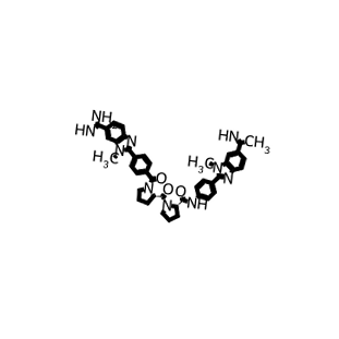 CC(=N)c1ccc2nc(-c3ccc(NC(=O)[C@@H]4CCCN4C(=O)[C@@H]4CCCN4C(=O)c4ccc(-c5nc6ccc(C(=N)N)cc6n5C)cc4)cc3)n(C)c2c1